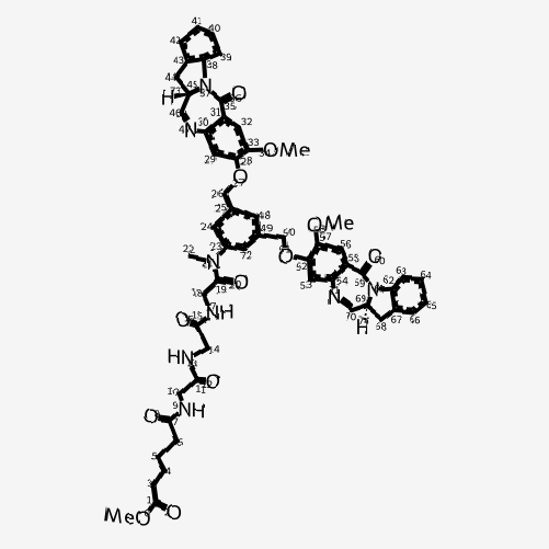 COC(=O)CCCCC(=O)NCC(=O)NCC(=O)NCC(=O)N(C)c1cc(COc2cc3c(cc2OC)C(=O)N2c4ccccc4C[C@H]2C=N3)cc(COc2cc3c(cc2OC)C(=O)N2c4ccccc4C[C@H]2C=N3)c1